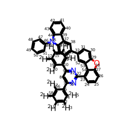 [2H]c1c([2H])c([2H])c(-c2cc(-c3c([2H])c([2H])c([2H])c([2H])c3[2H])nc(-c3cccc4oc5ccc(-c6ccc7c(c6)c6ccccc6n7-c6ccccc6)cc5c34)n2)c([2H])c1[2H]